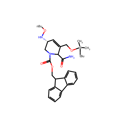 CCCCON[C@@H]1C=C(CO[Si](C)(C)C(C)(C)C)C(C(N)=O)N(C(=O)OCC2c3ccccc3-c3ccccc32)C1